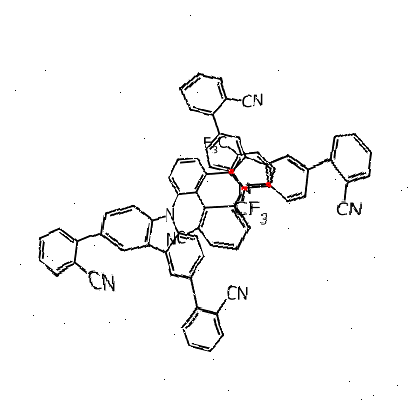 N#Cc1ccccc1-c1ccc2c(c1)c1cc(-c3ccccc3C#N)ccc1n2-c1cccc(C#N)c1-c1c(-c2c(C(F)(F)F)cccc2C(F)(F)F)cccc1-n1c2ccc(-c3ccccc3C#N)cc2c2cc(-c3ccccc3C#N)ccc21